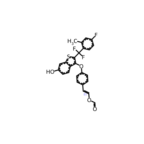 Cc1cc(F)ccc1C(F)(F)c1sc2cc(O)ccc2c1Oc1ccc(/C=C/OC=O)cc1